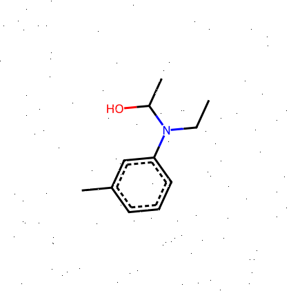 CCN(c1cccc(C)c1)C(C)O